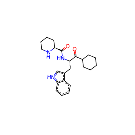 O=C(N[C@@H](Cc1c[nH]c2ccccc12)C(=O)C1CCCCC1)[C@@H]1CCCCN1